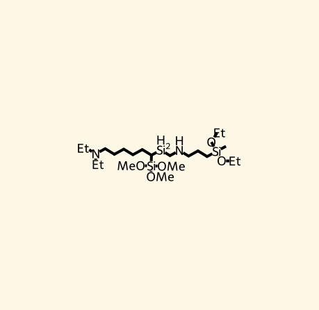 CCO[Si](C)(CCCNC[SiH2]C(CCCCCN(CC)CC)[Si](OC)(OC)OC)OCC